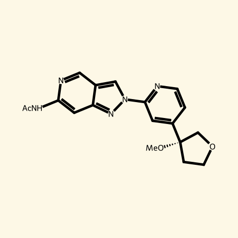 CO[C@@]1(c2ccnc(-n3cc4cnc(NC(C)=O)cc4n3)c2)CCOC1